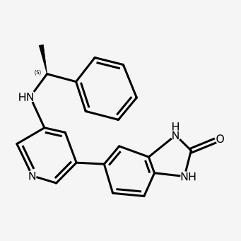 C[C@H](Nc1cncc(-c2ccc3[nH]c(=O)[nH]c3c2)c1)c1ccccc1